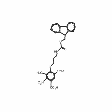 COc1cc(C(=O)O)c([N+](=O)[O-])c(C)c1OCCCNC(=O)OCC1c2ccccc2-c2ccccc21